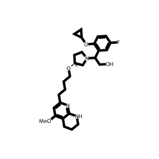 COc1cc(CCCCO[C@@H]2CCN(C(CO)c3cc(F)ccc3OC3CC3)C2)nc2c1CCCN2